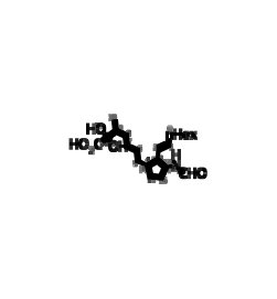 CCCCCCC=C[C@@H]1[C@H](CCCCC(C)C(O)(O)C(=O)O)CC[C@H]1NC=O